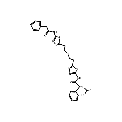 CC(O)O[C@H](C(=O)Nc1nnc(CCSCCc2nnc(NC(=O)Cc3ccccc3)s2)s1)c1ccccc1